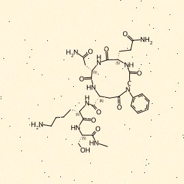 CNC(=O)[C@H](CO)NC(=O)[C@H](CCCCN)NC(=O)[C@H]1CC(=O)N(c2ccccc2)CC(=O)N[C@@H](CCC(N)=O)C(=O)N[C@@H](CC(N)=O)C(=O)N1